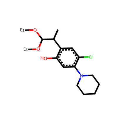 CCOC(OCC)C(C)c1cc(Cl)c(N2CCCCC2)cc1O